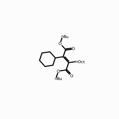 CCCCCCCCC(C(=O)OCCCC)=C(C(=O)OCCCC)C1CCCCC1